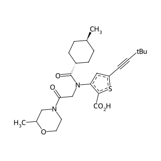 CC1CN(C(=O)CN(c2cc(C#CC(C)(C)C)sc2C(=O)O)C(=O)[C@H]2CC[C@H](C)CC2)CCO1